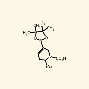 CC(C)(C)C1CC=C(B2OC(C)(C)C(C)(C)O2)CN1C(=O)O